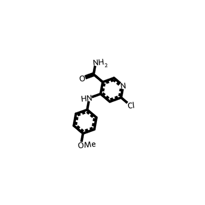 COc1ccc(Nc2cc(Cl)ncc2C(N)=O)cc1